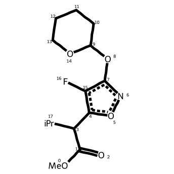 COC(=O)C(c1onc(OC2CCCCO2)c1F)C(C)C